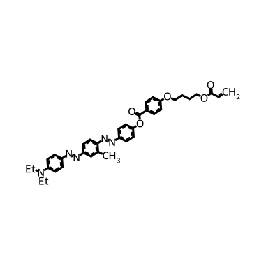 C=CC(=O)OCCCCOc1ccc(C(=O)Oc2ccc(N=Nc3ccc(N=Nc4ccc(N(CC)CC)cc4)cc3C)cc2)cc1